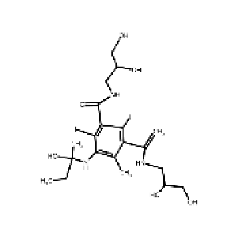 C=C(NCC(O)CO)c1c(C)c(NC(C)(O)CC)c(I)c(C(=O)NCC(O)CO)c1I